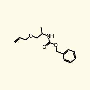 C=CCOCC(C)NC(=O)OCc1ccccc1